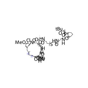 COc1cc2cc(c1Cl)N(C)C(=O)C[C@H](OC(=O)[C@H](C)N(C)C(=O)CCC(C)(C)SCC(=O)NCCNC(=O)O[C@H]1CCCC[C@@H]1SSC(=O)C(C)(C)C)[C@@]1(C)C[C@H]1[C@H](C)[C@@H]1C[C@@](O)(NC(=O)O1)[C@H](OC)/C=C/C=C(\C)C2